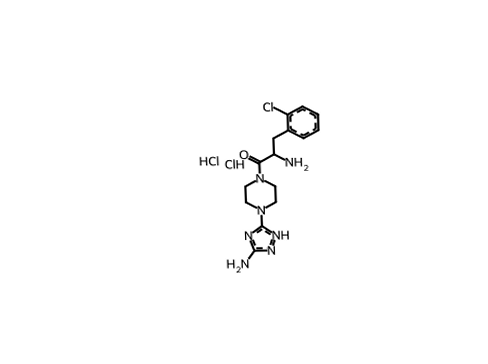 Cl.Cl.Nc1n[nH]c(N2CCN(C(=O)C(N)Cc3ccccc3Cl)CC2)n1